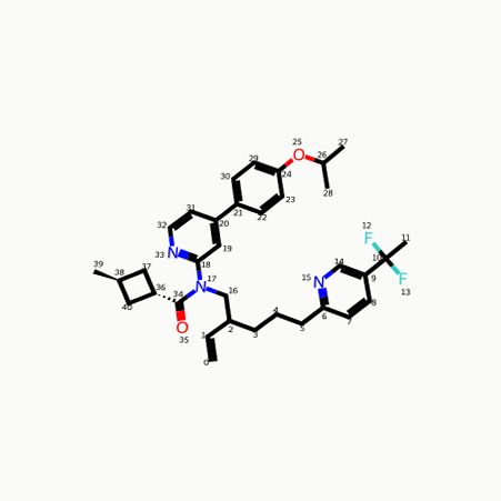 C=CC(CCCc1ccc(C(C)(F)F)cn1)CN(c1cc(-c2ccc(OC(C)C)cc2)ccn1)C(=O)[C@H]1C[C@H](C)C1